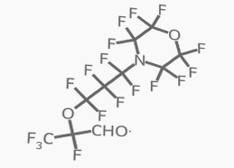 O=[C]C(F)(OC(F)(F)C(F)(F)C(F)(F)N1C(F)(F)C(F)(F)OC(F)(F)C1(F)F)C(F)(F)F